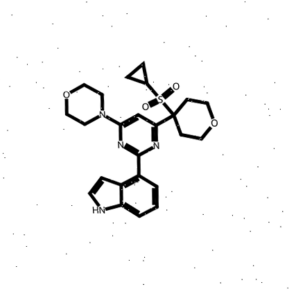 O=S(=O)(C1CC1)C1(c2cc(N3CCOCC3)nc(-c3cccc4[nH]ccc34)n2)CCOCC1